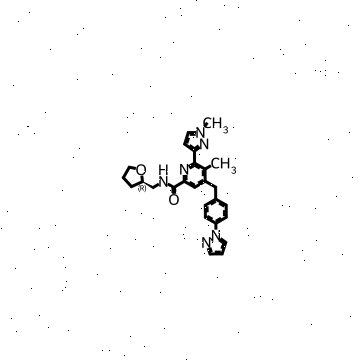 Cc1c(Cc2ccc(-n3cccn3)cc2)cc(C(=O)NC[C@H]2CCCO2)nc1-c1ccn(C)n1